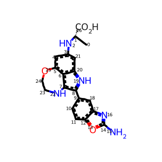 C[C@H](Nc1cc2c3c(c(-c4ccc5oc(N)nc5c4)[nH]c3c1)NCCO2)C(=O)O